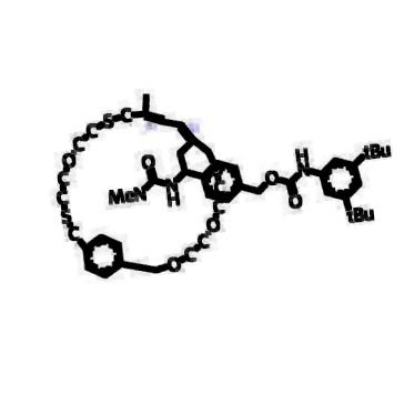 CNC(=O)NC(C/C1=C\C=C(/C)CSCCOCCSCc2ccc(cc2)COCCOCCOC1)c1ccc(COC(=O)Nc2cc(C(C)(C)C)cc(C(C)(C)C)c2)cc1